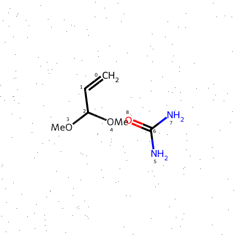 C=CC(OC)OC.NC(N)=O